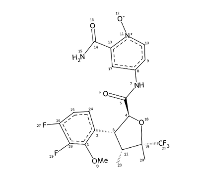 COc1c([C@@H]2[C@@H](C(=O)Nc3cc[n+]([O-])c(C(N)=O)c3)O[C@](C)(C(F)(F)F)[C@@H]2C)ccc(F)c1F